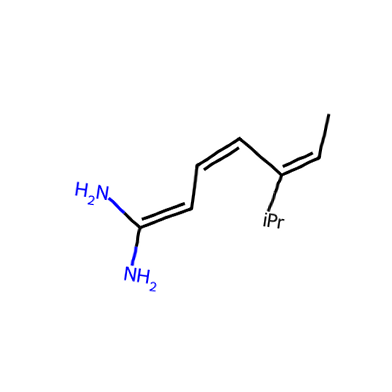 C/C=C(\C=C/C=C(N)N)C(C)C